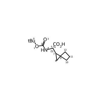 CC(C)(C)OC(=O)N[C@H](C(=O)O)C1CC12CCC2